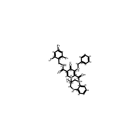 O=C(NCc1c(F)cc(F)cc1F)c1cn2c(c(OCc3ccccc3)c1=O)C(=O)N1C[C@@H]2CSc2ccccc21